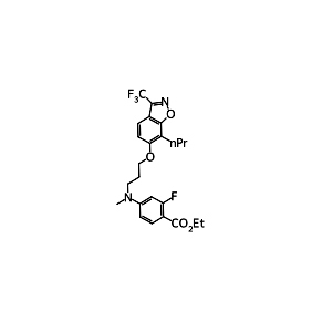 CCCc1c(OCCCN(C)c2ccc(C(=O)OCC)c(F)c2)ccc2c(C(F)(F)F)noc12